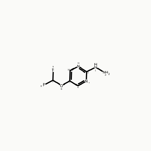 NNc1ncc(OC(F)F)cn1